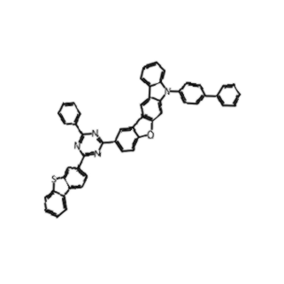 c1ccc(-c2ccc(-n3c4ccccc4c4cc5c(cc43)oc3ccc(-c4nc(-c6ccccc6)nc(-c6ccc7c(c6)sc6ccccc67)n4)cc35)cc2)cc1